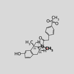 CN1CC[C@@]2(C)c3cc(O)ccc3C[C@@H]1[C@@H]2N(C)C(=O)Cc1ccc(S(C)(=O)=O)cc1